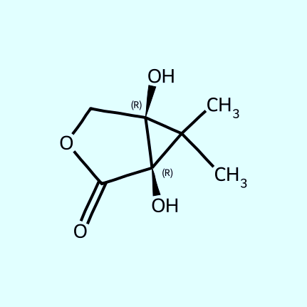 CC1(C)[C@]2(O)C(=O)OC[C@]12O